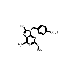 CCCCOc1nc(N)c2nc(O)n(Cc3ccc(C(=O)O)cc3)c2n1